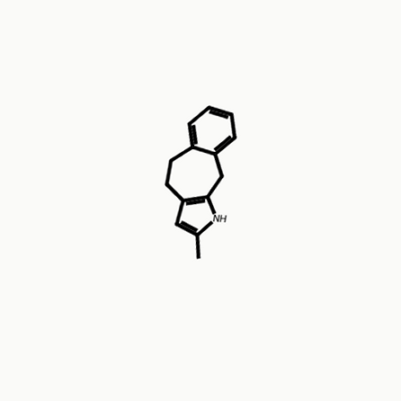 Cc1cc2c([nH]1)Cc1ccccc1CC2